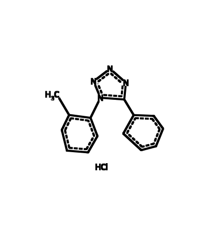 Cc1ccccc1-n1nnnc1-c1ccccc1.Cl